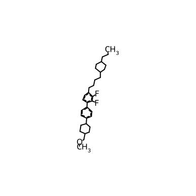 CCCC1CCC(CCCCc2ccc(-c3ccc(C4CCC(COC)CC4)cc3)c(F)c2F)CC1